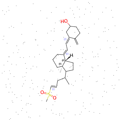 C=C1CCC(O)C/C1=C/C=C1\CCC[C@]2(C)C(C(C)C/C=C/S(C)(=O)=O)CC[C@@H]12